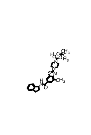 Cc1cc(C(=O)N[C@H]2CCc3ccccc32)cc2sc(N3CCN(C(=O)OC(C)(C)C)CC3)nc12